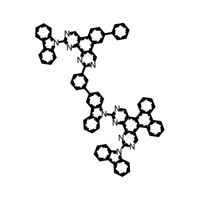 c1ccc(-c2ccc3c(c2)c2cnc(-c4cccc(-c5ccc6c(c5)c5ccccc5n6-c5ncc6c(n5)c5nc(-n7c8ccccc8c8ccccc87)ncc5c5c7ccccc7c7ccccc7c65)c4)nc2c2nc(-n4c5ccccc5c5ccccc54)ncc32)cc1